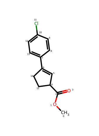 COC(=O)C1C=C(c2ccc(Cl)cc2)CC1